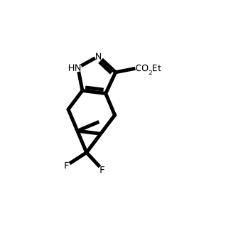 CCOC(=O)c1n[nH]c2c1CC1C(F)(F)C1(C)C2